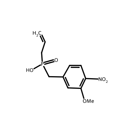 C=CCP(=O)(O)Cc1ccc([N+](=O)[O-])c(OC)c1